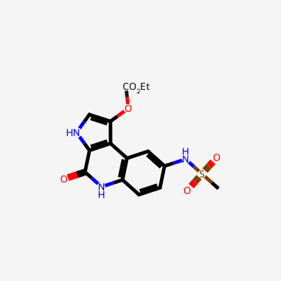 CCOC(=O)Oc1c[nH]c2c(=O)[nH]c3ccc(NS(C)(=O)=O)cc3c12